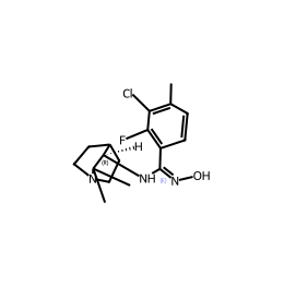 Cc1ccc(/C(=N\O)N[C@@H]2C3CCN(CC3)C2(C)C)c(F)c1Cl